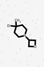 CCC1(C)CCN(C2COC2)CC1